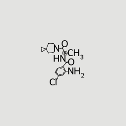 C[C@@H](NC(=O)c1ccc(Cl)cc1N)C(=O)N1CCC2(CC1)CC2